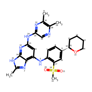 Cc1nc2c(Nc3ccc([C@@H]4CCCCO4)cc3S(C)(=O)=O)cc(Nc3cnc(C)c(C)n3)nc2[nH]1